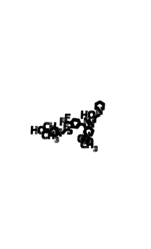 CC(C)(O)C1CCN(CCSc2cc(-c3nn(C[C@@H](O)CN4CCCCC4)c4c3CN(S(C)(=O)=O)CC4)ccc2C(F)(F)F)CC1